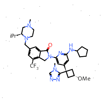 CO[C@H]1C[C@@](c2cc(NC3CCCC3)nc(N3Cc4c(cc(CN5CCN(C)C[C@@H]5C(C)C)cc4C(F)(F)F)C3=O)c2)(c2nncn2C)C1